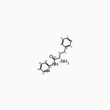 N[C@@H](CCc1ccccc1)C(=O)Nc1ccccn1